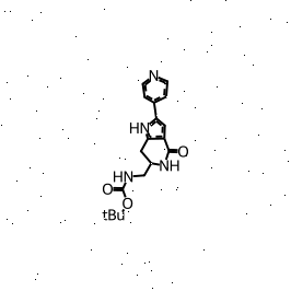 CC(C)(C)OC(=O)NCC1Cc2[nH]c(-c3ccncc3)cc2C(=O)N1